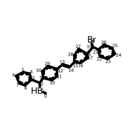 CBC(c1ccccc1)c1ccc(/C=C/c2ccc(C(Br)c3ccccc3)cc2)cc1